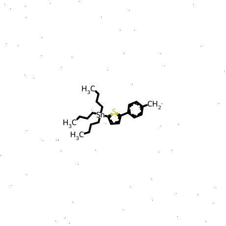 [CH2]c1ccc(-c2cc[c]([Sn]([CH2]CCC)([CH2]CCC)[CH2]CCC)s2)cc1